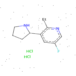 CCc1ncc(F)cc1C1CCCN1.Cl.Cl